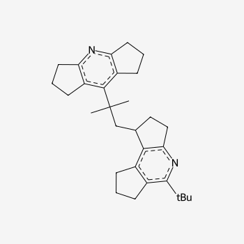 CC(C)(C)c1nc2c(c3c1CCC3)C(CC(C)(C)c1c3c(nc4c1CCC4)CCC3)CC2